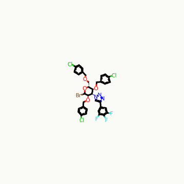 Fc1cc(-c2cn([C@H]3[C@@H](OCc4ccc(Cl)cc4)[C@@H](COCc4ccc(Cl)cc4)OC(Br)[C@@H]3OCc3ccc(Cl)cc3)nn2)cc(F)c1F